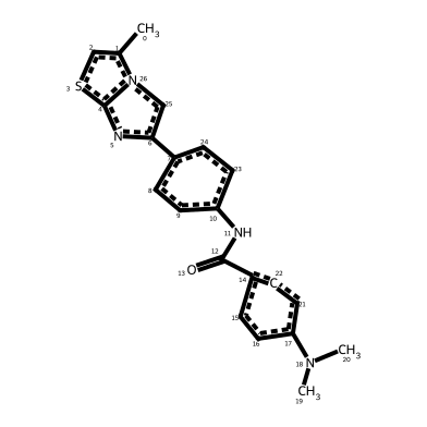 Cc1csc2nc(-c3ccc(NC(=O)c4ccc(N(C)C)cc4)cc3)cn12